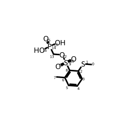 CSc1cccc(C)c1S(=O)(=O)OCP(=O)(O)O